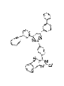 Clc1nc(-c2ccc(-c3nc(-c4cccc(-c5ccccc5)c4)cc(-c4cccc(-c5ccccc5)c4)n3)cc2)c2sc3ccccc3c2n1